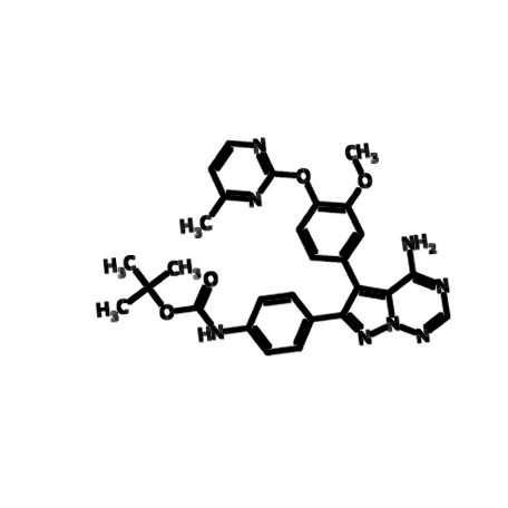 COc1cc(-c2c(-c3ccc(NC(=O)OC(C)(C)C)cc3)nn3ncnc(N)c23)ccc1Oc1nccc(C)n1